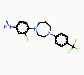 CNc1ccc(N2CCCN(c3ccc(C(F)(F)F)cc3)CC2)c(F)c1